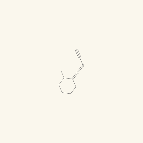 C#CN=C=C1CCCCC1C